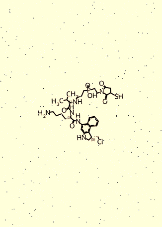 CC(C)[C@H](NCCCP(=O)(O)CCN1C(=O)CC(S)C1=O)C(=O)N[C@@H](CCCCN)C(=O)Nc1cc2c(c3ccccc13)[C@H](CCl)CN2